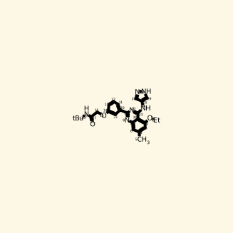 CCOc1cc(C)cc2nc(-c3cccc(OCC(=O)NC(C)(C)C)c3)nc(Nc3cn[nH]c3)c12